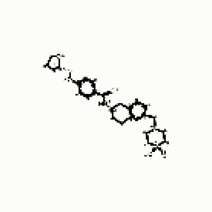 O=C(N[C@H]1CCc2cc(CN3CCS(=O)(=O)CC3)ccc2C1)c1ccc(OC[C@@H]2CCCO2)cc1